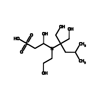 CC(C)CC(CO)(CO)N(CCO)C(O)CS(=O)(=O)O